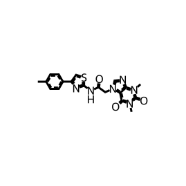 Cc1ccc(-c2csc(NC(=O)Cn3cnc4c3c(=O)n(C)c(=O)n4C)n2)cc1